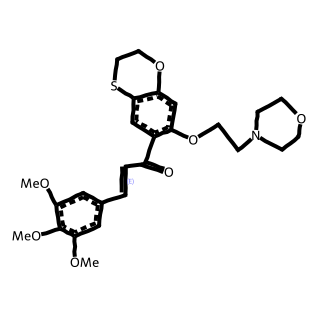 COc1cc(/C=C/C(=O)c2cc3c(cc2OCCN2CCOCC2)OCCS3)cc(OC)c1OC